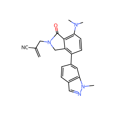 C=C(C#N)CN1Cc2c(-c3ccc4cnn(C)c4c3)ccc(N(C)C)c2C1=O